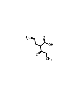 C=CCC(C(=O)O)C(=O)CC